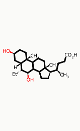 CC[C@H]1[C@H](O)C2C3CC[C@H]([C@H](C)CCC(=O)O)[C@@]3(C)CCC2[C@@]2(C)CC[C@H](O)C[C@@H]12